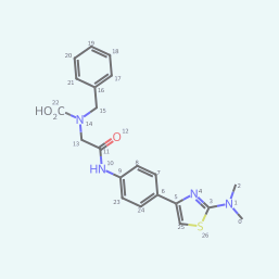 CN(C)c1nc(-c2ccc(NC(=O)CN(Cc3ccccc3)C(=O)O)cc2)cs1